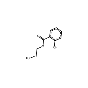 CSCOC(=O)c1ccccc1O